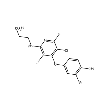 CC(C)c1cc(Oc2c(Cl)c(F)nc(NCCC(=O)O)c2Cl)ccc1O